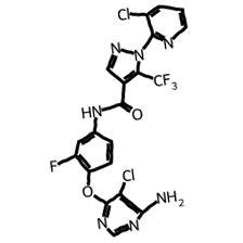 Nc1ncnc(Oc2ccc(NC(=O)c3cnn(-c4ncccc4Cl)c3C(F)(F)F)cc2F)c1Cl